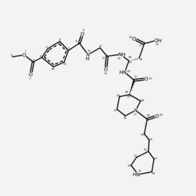 COC(=O)c1ccc(C(=O)NCC(=O)N[C@H](CC(=O)O)NC(=O)[C@@H]2CCCN(C(=O)CCC3CCNCC3)C2)cc1